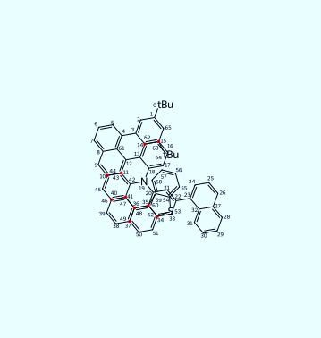 CC(C)(C)c1cc(-c2cccc3cccc(-c4ccccc4N(c4cc(-c5cccc6ccccc56)ccc4-c4ccccc4)c4ccccc4-c4cccc5sc6ccccc6c45)c23)cc(C(C)(C)C)c1